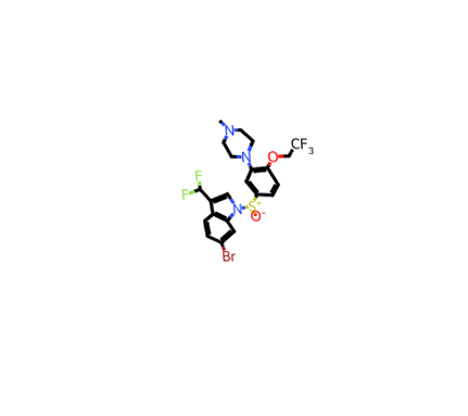 CN1CCN(c2cc([S+]([O-])n3cc(C(F)F)c4ccc(Br)cc43)ccc2OCC(F)(F)F)CC1